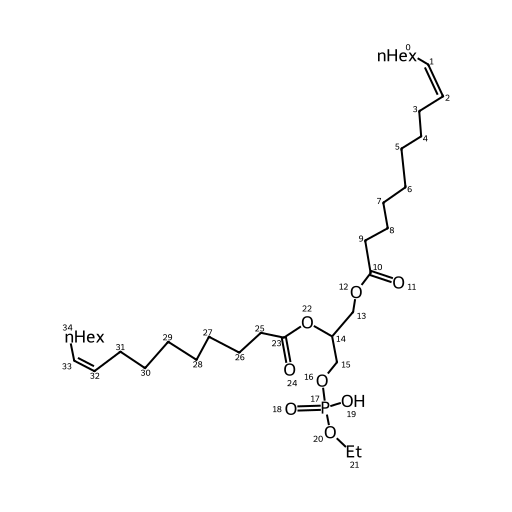 CCCCCC/C=C\CCCCCCCC(=O)OCC(COP(=O)(O)OCC)OC(=O)CCCCCCC/C=C\CCCCCC